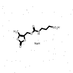 Cc1oc(=O)oc1COC(=O)NCCCS(=O)(=O)O.[NaH]